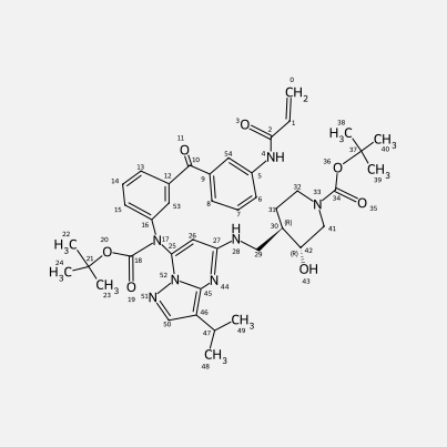 C=CC(=O)Nc1cccc(C(=O)c2cccc(N(C(=O)OC(C)(C)C)c3cc(NC[C@H]4CCN(C(=O)OC(C)(C)C)C[C@@H]4O)nc4c(C(C)C)cnn34)c2)c1